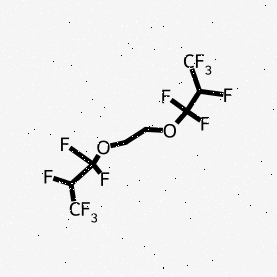 FC(C(F)(F)F)C(F)(F)OCCOC(F)(F)C(F)C(F)(F)F